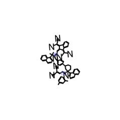 Cc1ccc(N2/C(=C\C=C(C#N)C#N)C3(CCCC(c4ccc(N5/C(=C/C=C6C(=C(C#N)C#N)c7ccccc7C6=C(C#N)C#N)C(C)(C)c6c5ccc5ccccc65)cc4)C3)c3c2ccc2ccccc32)c(C)c1